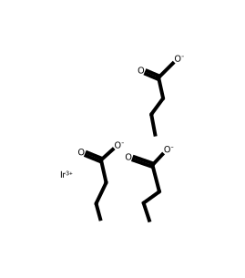 CCCC(=O)[O-].CCCC(=O)[O-].CCCC(=O)[O-].[Ir+3]